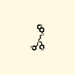 c1cncc(CCN(CCCOc2ccc3ncccc3c2)Cc2ccncc2)c1